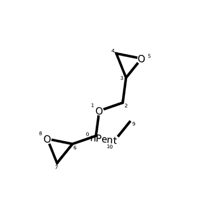 C(OCC1CO1)C1CO1.CCCCCC